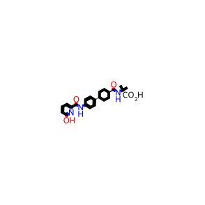 CC(C)(NC(=O)[C@H]1CC[C@H](c2ccc(NC(=O)c3cccc(O)n3)cc2)CC1)C(=O)O